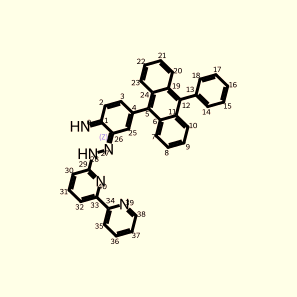 N=C1C=CC(c2c3ccccc3c(-c3ccccc3)c3ccccc23)=C/C1=N/Nc1cccc(-c2ccccn2)n1